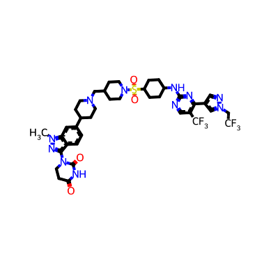 Cn1nc(N2CCC(=O)NC2=O)c2ccc(C3CCN(CC4CCN(S(=O)(=O)C5CCC(Nc6ncc(C(F)(F)F)c(-c7cnn(CC(F)(F)F)c7)n6)CC5)CC4)CC3)cc21